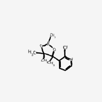 CB1OC(C)(C)C(C)(c2cccnc2Cl)O1